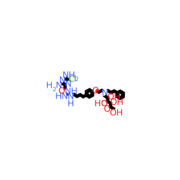 N=C(NCCCCc1ccc(OCCN(CCCc2ccccc2)C[C@H](O)[C@@H](O)[C@H](O)C(=O)CO)cc1)NC(=O)c1nc(Cl)c(N)nc1N